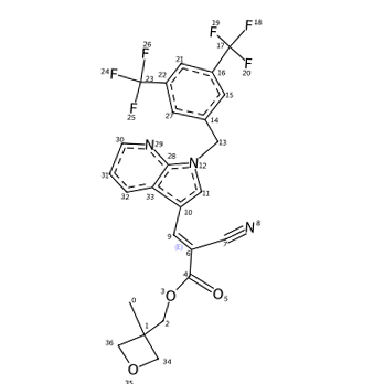 CC1(COC(=O)/C(C#N)=C/c2cn(Cc3cc(C(F)(F)F)cc(C(F)(F)F)c3)c3ncccc23)COC1